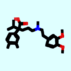 COc1ccc(CCN(C)CCCC(C(=O)O)(c2ccc(C)c(C)c2)C(C)C)cc1OC